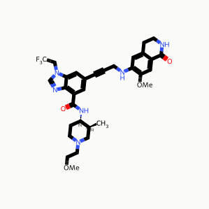 COCCN1CC[C@H](NC(=O)c2cc(C#CCNc3cc4c(cc3OC)C(=O)NCC4)cc3c2ncn3CC(F)(F)F)[C@@H](C)C1